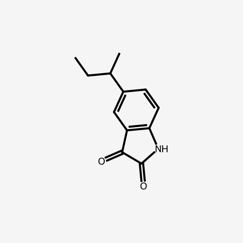 CCC(C)c1ccc2c(c1)C(=O)C(=O)N2